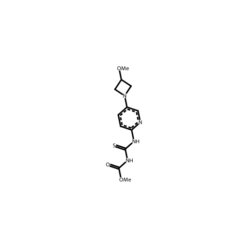 COC(=O)NC(=S)Nc1ccc(N2CC(OC)C2)cn1